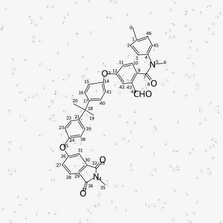 Cc1ccc(N(C)C(=O)c2ccc(Oc3ccc(C(C)(C)c4ccc(Oc5ccc6c(c5)C(=O)N(C)C6=O)cc4)cc3)cc2C=O)cc1